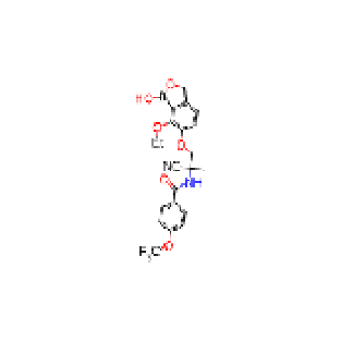 CCOc1c(OCC(C)(C#N)NC(=O)c2ccc(OC(F)(F)F)cc2)ccc2c1B(O)OC2